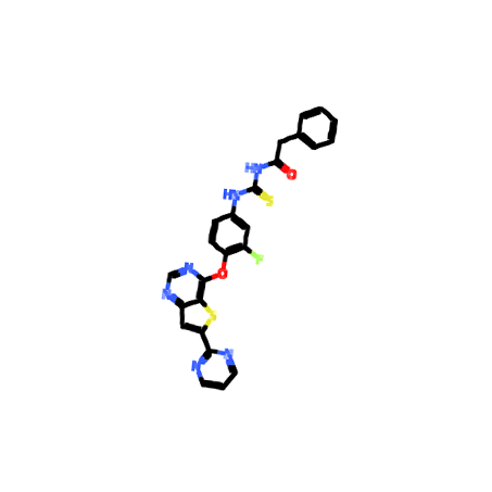 O=C(Cc1ccccc1)NC(=S)Nc1ccc(Oc2ncnc3cc(-c4ncccn4)sc23)c(F)c1